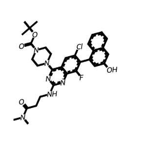 CN(C)C(=O)CCNc1nc(N2CCN(C(=O)OC(C)(C)C)CC2)c2cc(Cl)c(-c3cc(O)cc4ccccc34)c(F)c2n1